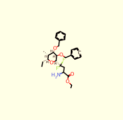 CCOC(=O)C(N)CC(F)(F)[C@@H]1O[C@H](CC)[C@H](C)[C@H](OCc2ccccc2)[C@H]1OCc1ccccc1